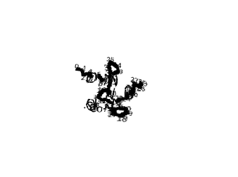 CCCCOCCn1c(-c2cccc(-c3nc4ccccc4n3CCOCCCC)n2)nc2ccccc21.[Cl-].[Cl-].[Co+2]